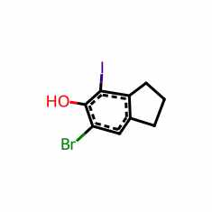 Oc1c(Br)cc2c(c1I)CCC2